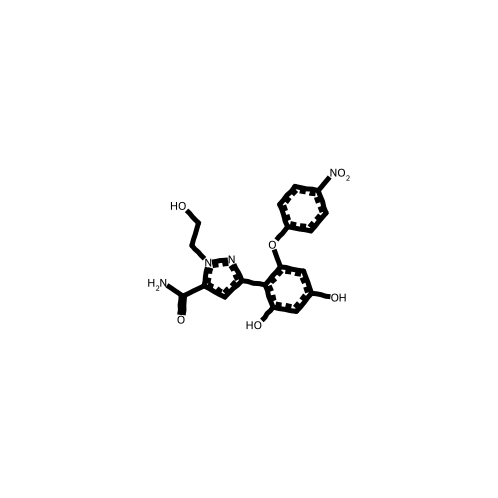 NC(=O)c1cc(-c2c(O)cc(O)cc2Oc2ccc([N+](=O)[O-])cc2)nn1CCO